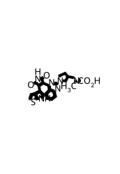 CN(CC1CCN(c2nc(C3=C(c4c[nH]c5sccc45)C(=O)NC3=O)c3ccccc3n2)C1)C(=O)O